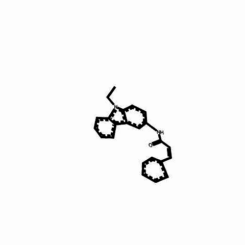 CCn1c2ccccc2c2cc(NC(=O)/C=C\c3ccccc3)ccc21